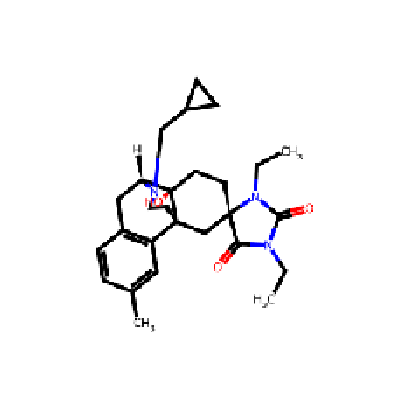 CCN1C(=O)N(CC)[C@]2(CC[C@@]3(O)[C@H]4Cc5ccc(C)cc5[C@@]3(CCN4CC3CC3)C2)C1=O